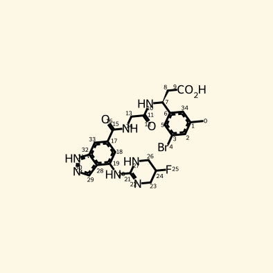 Cc1cc(Br)cc([C@H](CC(=O)O)NC(=O)CNC(=O)c2cc(NC3=NCC(F)CN3)c3cn[nH]c3c2)c1